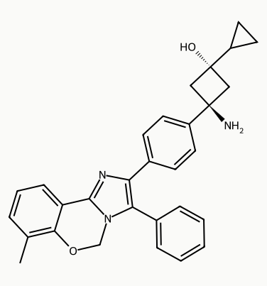 Cc1cccc2c1OCn1c-2nc(-c2ccc([C@]3(N)C[C@@](O)(C4CC4)C3)cc2)c1-c1ccccc1